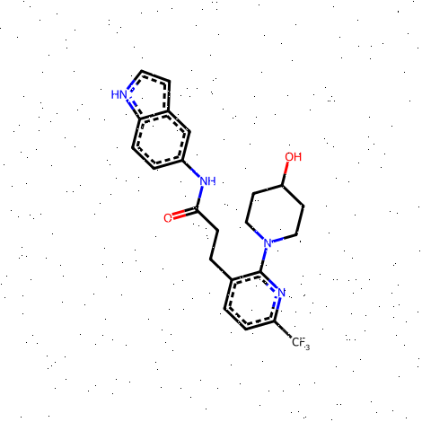 O=C(CCc1ccc(C(F)(F)F)nc1N1CCC(O)CC1)Nc1ccc2[nH]ccc2c1